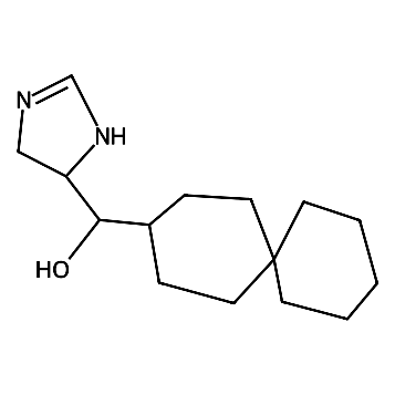 OC(C1CCC2(CCCCC2)CC1)C1CN=CN1